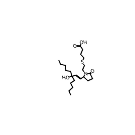 CCCCCC(O)(C=CC1CCC(=O)N1CCSCCCC(=O)O)CCCCC